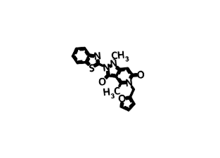 Cc1c2c(=O)n(-c3nc4ccccc4s3)n(C)c2cc(=O)n1Cc1ccco1